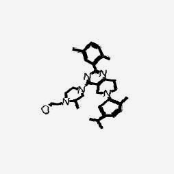 Cc1ccc(C)c(-c2nc3c(c(N4CCN(CC=O)C(C)C4)n2)CN(c2cc(C(C)C)ccc2C)CC3)c1